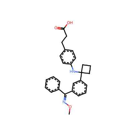 CO/N=C(/c1ccccc1)c1cccc(C2(Nc3ccc(CCC(=O)O)cc3)CCC2)c1